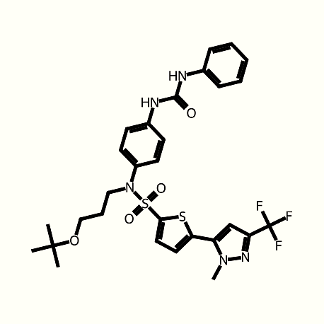 Cn1nc(C(F)(F)F)cc1-c1ccc(S(=O)(=O)N(CCCOC(C)(C)C)c2ccc(NC(=O)Nc3ccccc3)cc2)s1